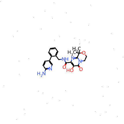 CC1(C)OCCn2c1nc(C(=O)NCc1ccccc1-c1ccc(N)nc1)c(O)c2=O